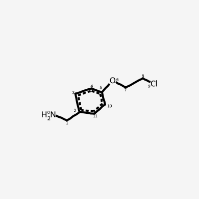 NCc1ccc(OCCCl)cc1